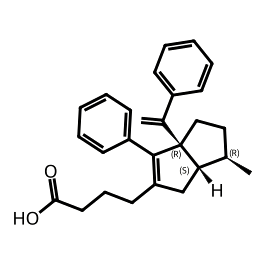 C=C(c1ccccc1)[C@@]12CC[C@@H](C)[C@@H]1CC(CCCC(=O)O)=C2c1ccccc1